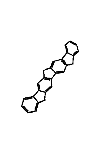 c1ccc2c(c1)Cc1cc3c(cc1-2)Cc1cc2c(cc1-3)Cc1ccccc1-2